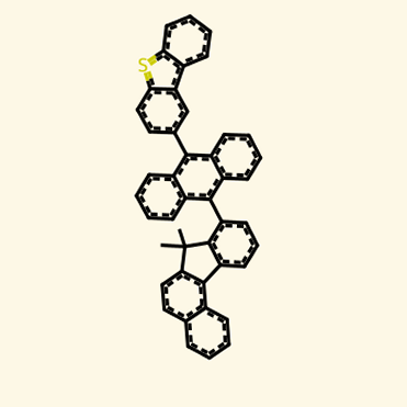 CC1(C)c2ccc3ccccc3c2-c2cccc(-c3c4ccccc4c(-c4ccc5sc6ccccc6c5c4)c4ccccc34)c21